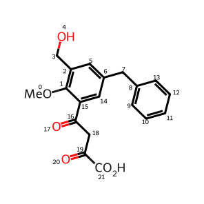 COc1c(CO)cc(Cc2ccccc2)cc1C(=O)CC(=O)C(=O)O